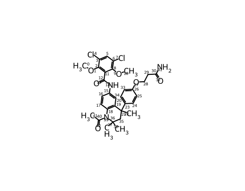 COc1c(Cl)cc(Cl)c(OC)c1C(=O)Nc1ccc2c(c1)C(C)(c1ccc(OCCC(N)=O)cc1)CC(C)(C)N2C(C)=O